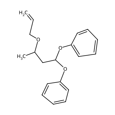 C=CCOC(C)CC(Oc1ccccc1)Oc1ccccc1